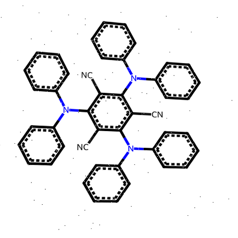 N#Cc1c(N(c2ccccc2)c2ccccc2)c(C#N)c(N(c2ccccc2)c2ccccc2)c(C#N)c1N(c1ccccc1)c1ccccc1